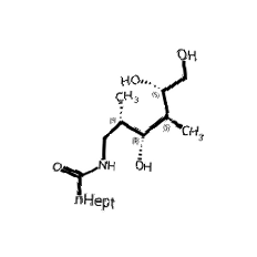 CCCCCCCC(=O)NC[C@H](C)[C@@H](O)[C@H](C)[C@H](O)CO